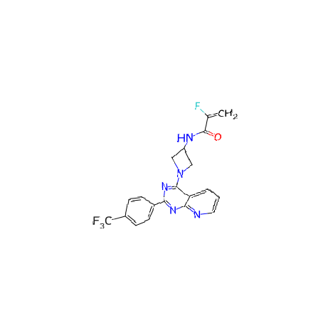 C=C(F)C(=O)NC1CN(c2nc(-c3ccc(C(F)(F)F)cc3)nc3ncccc23)C1